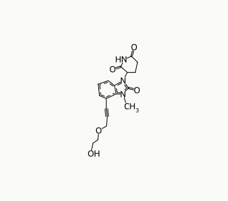 Cn1c(=O)n(C2CCC(=O)NC2=O)c2cccc(C#CCOCCO)c21